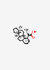 C=C=C(C(=O)O)C1CCCC2CC[C@H]3[C@@H]4CCC[C@@]4(C)CC[C@@H]3[C@]21C